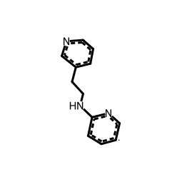 [c]1ccc(NCCc2cccnc2)nc1